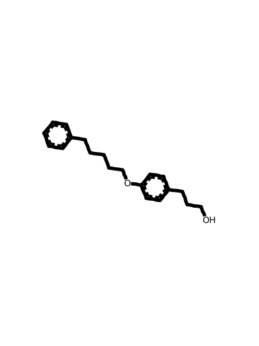 OCCCc1ccc(OCCCCCc2ccccc2)cc1